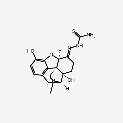 CN1CC[C@]23c4c5ccc(O)c4O[C@H]2C(=NNC(N)=S)CC[C@@]3(O)[C@H]1C5